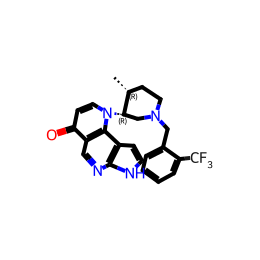 C[C@@H]1CCN(Cc2ccccc2C(F)(F)F)C[C@@H]1n1ccc(=O)c2cnc3[nH]ccc3c21